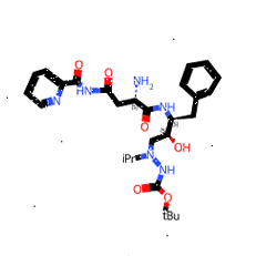 CC(C)N(C[C@H](O)[C@H](Cc1ccccc1)NC(=O)[C@@H](N)CC(=O)NC(=O)c1ccccn1)NC(=O)OC(C)(C)C